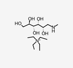 CC[N+](CC)(CC)CC.CNC[C@H](O)[C@@H](O)[C@H](O)[C@H](O)CO